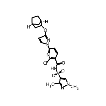 Cc1nn(C)cc1S(=O)(=O)NC(=O)c1ccc(-n2ccc(O[C@H]3C[C@H]4CC[C@@H]3C4)n2)nc1Cl